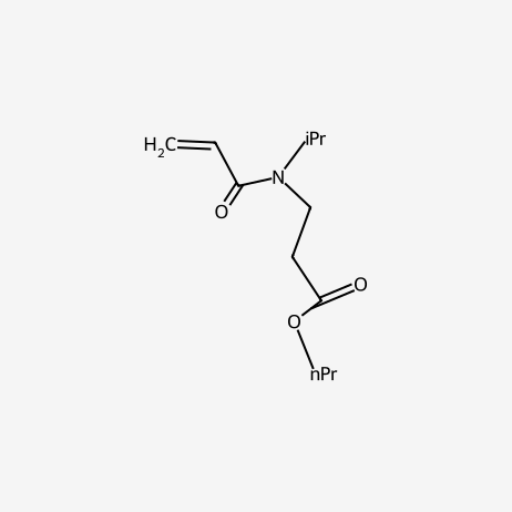 C=CC(=O)N(CCC(=O)OCCC)C(C)C